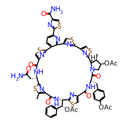 CC(=O)Oc1ccc(C[C@@H]2NC(=O)c3csc(n3)[C@H]([C@H](OC(C)=O)c3ccccc3)NC(=O)c3nc(sc3C)[C@H](CC(N)=O)NC(=O)c3csc(n3)-c3ccc(-c4nc(C(N)=O)cs4)nc3-c3csc(n3)-c3csc(n3)[C@@H]3[C@@H](C)[C@@H](OC(C)=O)CN3C2=O)cc1